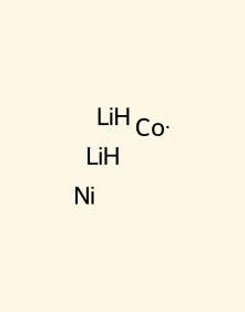 [Co].[LiH].[LiH].[Ni]